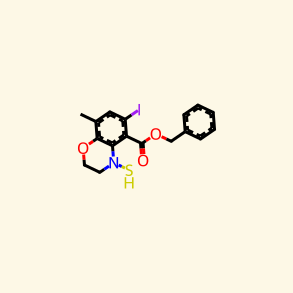 Cc1cc(I)c(C(=O)OCc2ccccc2)c2c1OCCN2S